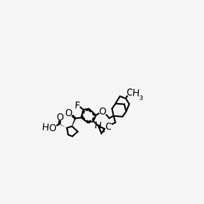 CCC1(COc2cc(F)c(C(=O)[C@H]3CCC[C@@H]3C(=O)O)cc2C2CC2)CC2CC(C)CC(C2)C1